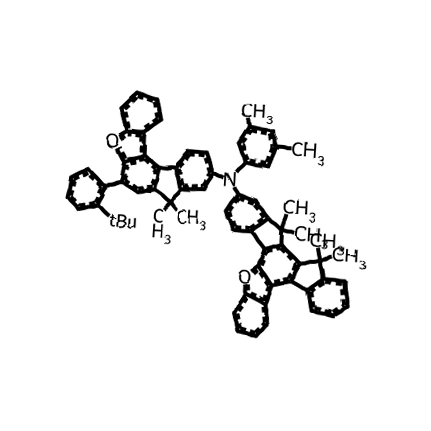 Cc1cc(C)cc(N(c2ccc3c(c2)C(C)(C)c2cc(-c4ccccc4C(C)(C)C)c4oc5ccccc5c4c2-3)c2ccc3c(c2)C(C)(C)c2c4c(c5c(oc6ccccc65)c2-3)-c2ccccc2C4(C)C)c1